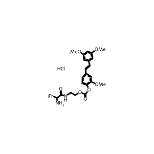 COc1cc(C=Cc2ccc(OC(=O)OCCNC(=O)C(N)C(C)C)c(OC)c2)cc(OC)c1.Cl